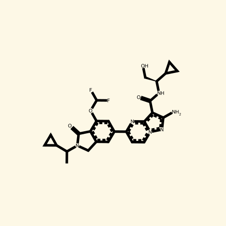 CC(C1CC1)N1Cc2cc(-c3ccn4nc(N)c(C(=O)N[C@@H](CO)C5CC5)c4n3)cc(OC(F)F)c2C1=O